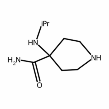 CC(C)NC1(C(N)=O)CCNCC1